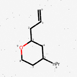 C=CCC1[C]C(CCC)CCO1